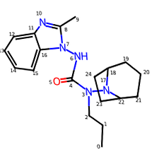 CCCN(C(=O)Nn1c(C)nc2ccccc21)N1C2CCCC1CC2